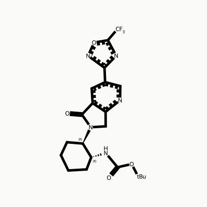 CC(C)(C)OC(=O)N[C@@H]1CCCC[C@H]1N1Cc2ncc(-c3noc(C(F)(F)F)n3)cc2C1=O